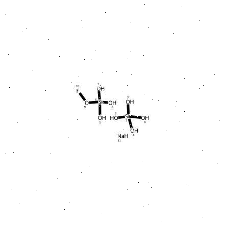 O[Si](O)(O)O.O[Si](O)(O)OF.[NaH]